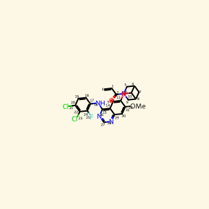 C=CC(=O)N1CC2CC(C1)C2Oc1cc2c(Nc3ccc(Cl)c(Cl)c3F)ncnc2cc1OC